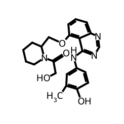 Cc1cc(Nc2ncnc3cccc(OCC4CCCCN4C(=O)CO)c23)ccc1O